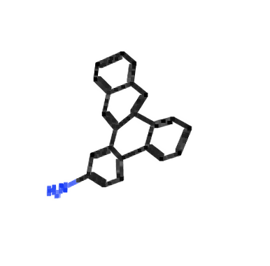 Nc1ccc2c3ccccc3c3cc4ccccc4cc3c2c1